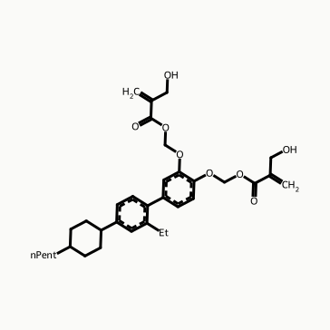 C=C(CO)C(=O)OCOc1ccc(-c2ccc(C3CCC(CCCCC)CC3)cc2CC)cc1OCOC(=O)C(=C)CO